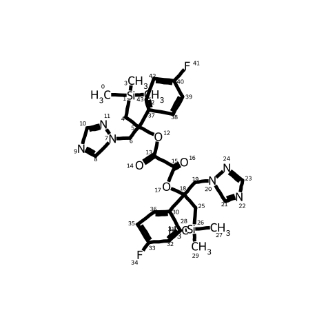 C[Si](C)(C)CC(Cn1cncn1)(OC(=O)C(=O)OC(Cn1cncn1)(C[Si](C)(C)C)c1ccc(F)cc1)c1ccc(F)cc1